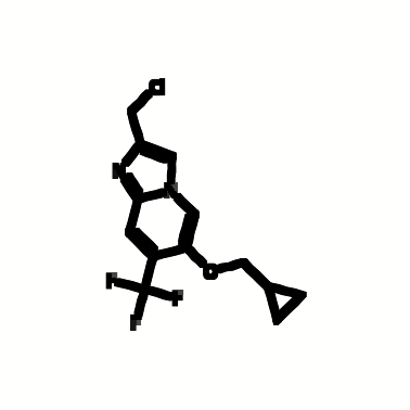 FC(F)(F)c1cc2nc(CCl)cn2cc1OCC1CC1